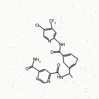 CC(NC(=O)c1cc(C(N)=O)ncn1)C1=CCC=C(C(=O)Nc2cc(C(F)(F)F)c(Cl)cn2)C1